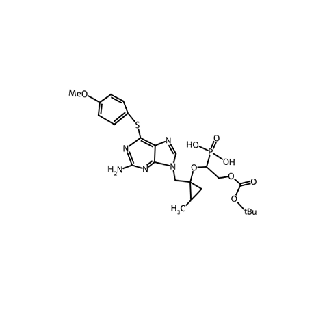 COc1ccc(Sc2nc(N)nc3c2ncn3CC2(OC(COC(=O)OC(C)(C)C)P(=O)(O)O)CC2C)cc1